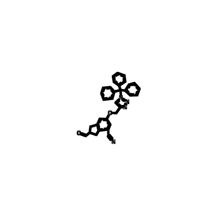 N#Cc1cc(OCc2cn(C(c3ccccc3)(c3ccccc3)c3ccccc3)nn2)cc2c1CC(C=O)C2